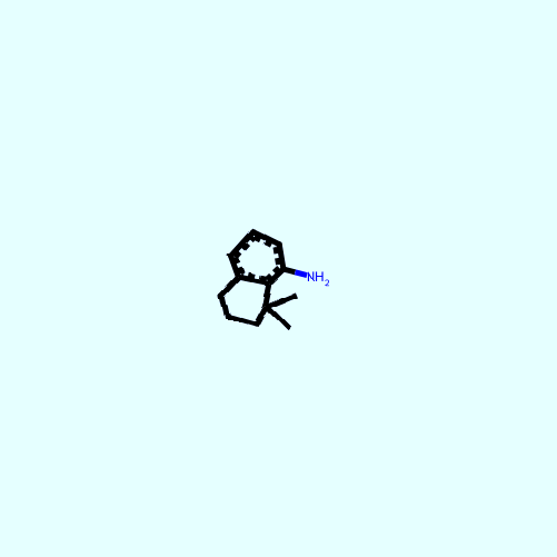 CC1(C)CCCc2cccc(N)c21